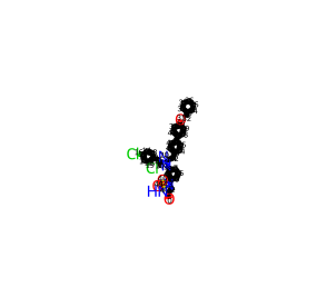 O=C1CN(c2cccc(-n3cc(-c4ccc(Cl)cc4Cl)nc3Cc3ccc(-c4ccc(OCC5CCCCC5)cc4)cc3)c2)S(=O)(=O)N1